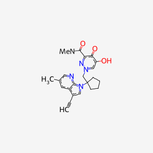 C#Cc1cn(C2(Cn3cc(O)c(=O)c(C(=O)NC)n3)CCCC2)c2ncc(C)cc12